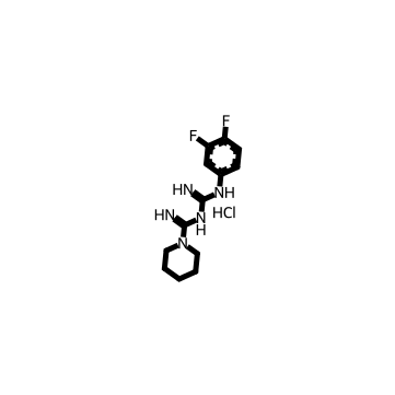 Cl.N=C(NC(=N)N1CCCCC1)Nc1ccc(F)c(F)c1